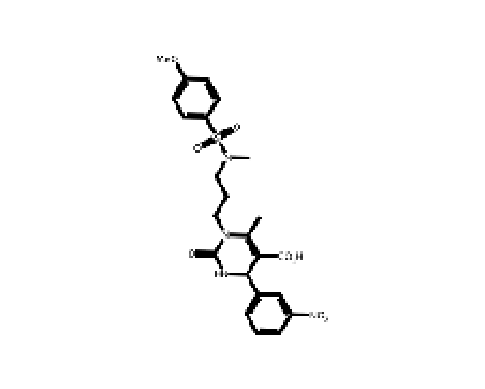 COc1ccc(S(=O)(=O)N(C)CCCN2C(=O)NC(c3cccc([N+](=O)[O-])c3)C(C(=O)O)=C2C)cc1